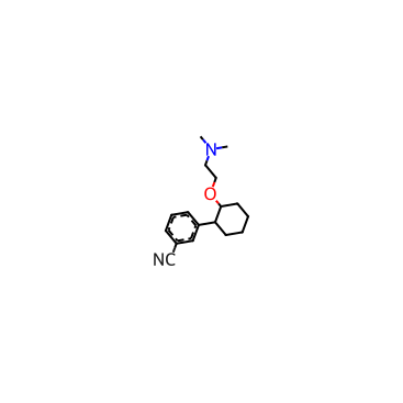 CN(C)CCOC1CCCCC1c1cccc(C#N)c1